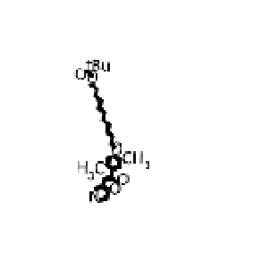 Cc1cc(-c2cc3cnccc3oc2=O)c(C)cc1OCCCCCCCCCCCOC(=O)C(C)(C)C